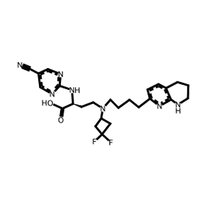 N#Cc1cnc(N[C@@H](CCN(CCCCc2ccc3c(n2)NCCC3)C2CC(F)(F)C2)C(=O)O)nc1